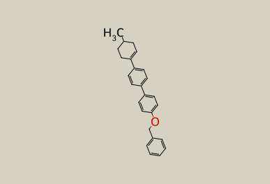 CC1CC=C(c2ccc(-c3ccc(OCc4ccccc4)cc3)cc2)CC1